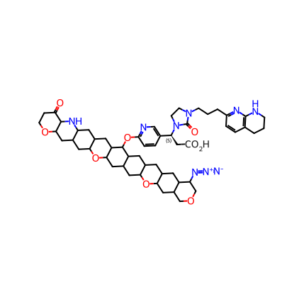 [N-]=[N+]=NC1COCC2CC3OC4CC5CC6OC7CC8CC9OCCC(=O)C9NC8CC7CC6C(Oc6ccc([C@H](CC(=O)O)N7CCN(CCCc8ccc9c(n8)NCCC9)C7=O)cn6)C5CC4CC3CC21